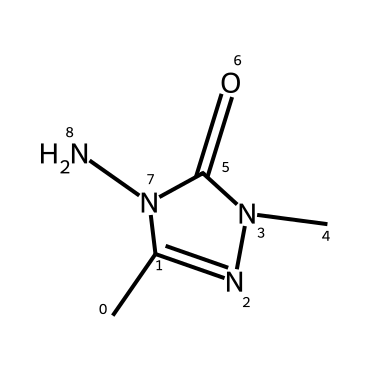 Cc1nn(C)c(=O)n1N